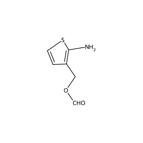 Nc1sccc1COC=O